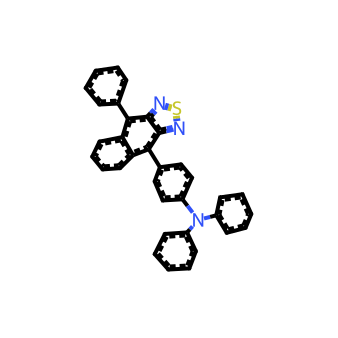 c1ccc(-c2c3ccccc3c(-c3ccc(N(c4ccccc4)c4ccccc4)cc3)c3nsnc23)cc1